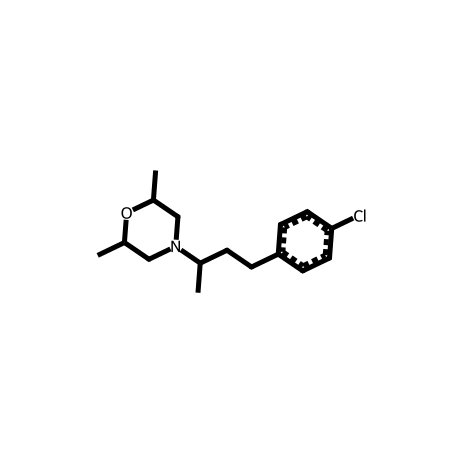 CC1CN(C(C)CCc2ccc(Cl)cc2)CC(C)O1